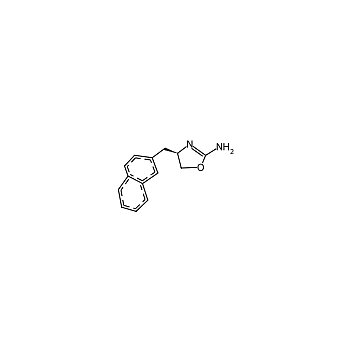 NC1=N[C@H](Cc2ccc3ccccc3c2)CO1